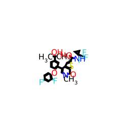 Cn1cc(-c2cc(C(C)(C)O)ccc2Oc2ccc(F)cc2F)c2cc(C(O)NC3(C(F)(F)F)CC3)sc2c1=O